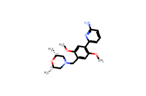 COc1cc(-c2cccc(N)n2)c(OC)cc1CN1C[C@@H](C)O[C@@H](C)C1